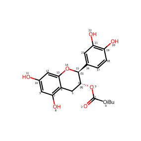 CC(C)COC(=O)O[C@@H]1Cc2c(O)cc(O)cc2O[C@H]1c1ccc(O)c(O)c1